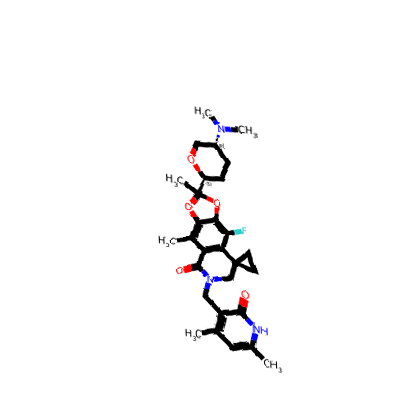 Cc1cc(C)c(CN2CC3(CC3)c3c(F)c4c(c(C)c3C2=O)OC(C)([C@@H]2CC[C@@H](N(C)C)CO2)O4)c(=O)[nH]1